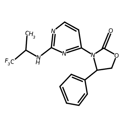 CC(Nc1nccc(N2C(=O)OCC2c2ccccc2)n1)C(F)(F)F